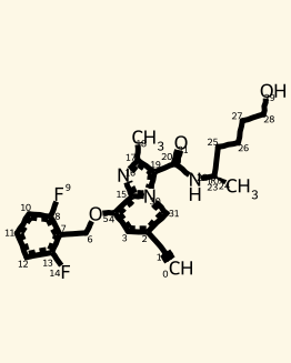 C#Cc1cc(OCc2c(F)cccc2F)c2nc(C)c(C(=O)N[C@H](C)CCCCO)n2c1